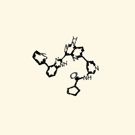 O=C(Nc1cncc(-c2ccc3[nH]nc(-c4nc5c(-c6cccs6)cccc5[nH]4)c3n2)c1)C1CCCC1